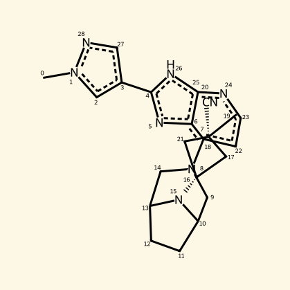 Cn1cc(-c2nc3c(N4CC5CCC(C4)N5[C@H]4C[C@@](C)(C#N)C4)ccnc3[nH]2)cn1